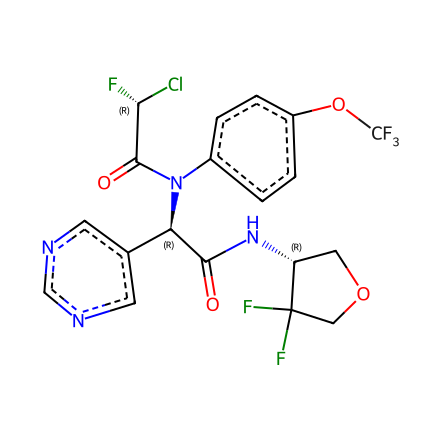 O=C(N[C@@H]1COCC1(F)F)[C@@H](c1cncnc1)N(C(=O)[C@H](F)Cl)c1ccc(OC(F)(F)F)cc1